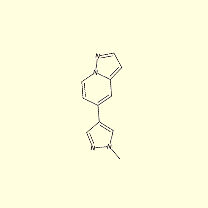 Cn1cc(-c2ccn3nccc3c2)cn1